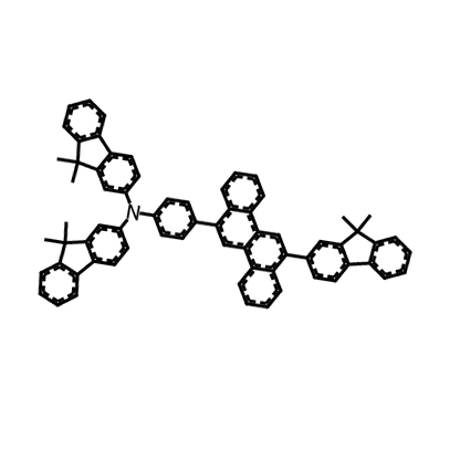 CC1(C)c2ccccc2-c2ccc(-c3cc4c5ccccc5c(-c5ccc(N(c6ccc7c(c6)C(C)(C)c6ccccc6-7)c6ccc7c(c6)C(C)(C)c6ccccc6-7)cc5)cc4c4ccccc34)cc21